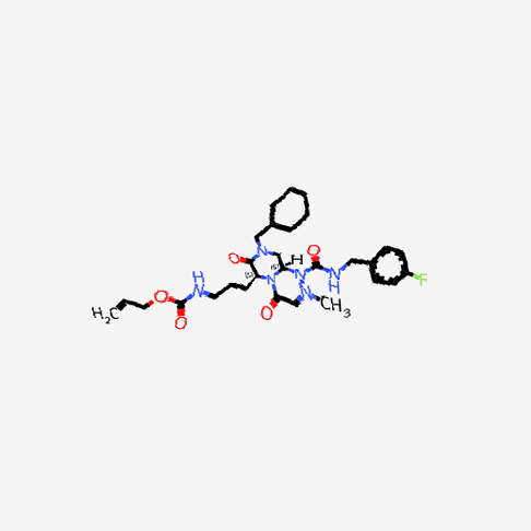 C=CCOC(=O)NCCC[C@H]1C(=O)N(CC2CCCCC2)C[C@H]2N1C(=O)CN(C)N2C(=O)NCc1ccc(F)cc1